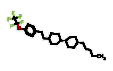 CCCCC[C@H]1CC[C@H](C2CCC(CCc3ccc(OC(F)(F)C(F)(F)F)cc3)CC2)CC1